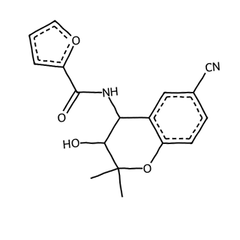 CC1(C)Oc2ccc(C#N)cc2C(NC(=O)c2ccco2)C1O